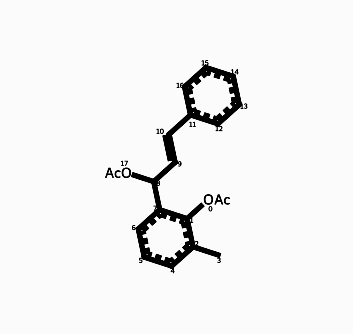 CC(=O)Oc1c(C)cccc1C(C=Cc1ccccc1)OC(C)=O